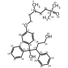 CN(CCOc1ccc(C(O)(c2ccccc2)C(CCO)c2ccccc2)cc1)CCP(C)(C)=O